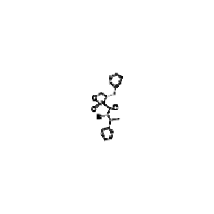 C[C@@H](c1ccccc1)[C@H](Br)C(=O)N1C(=O)OC[C@@H]1Cc1ccccc1